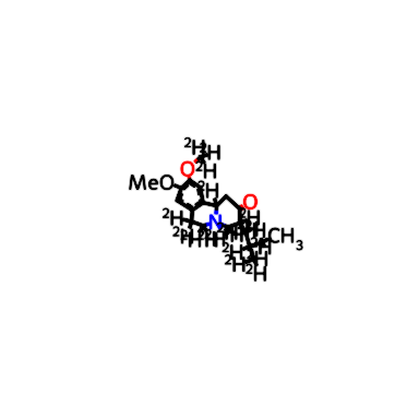 [2H]C([2H])([2H])Oc1cc2c(cc1OC)C([2H])([2H])C([2H])([2H])N1C2([2H])CC(=O)C([2H])(C([2H])([2H])C([2H])(C([2H])([2H])[2H])C([2H])([2H])C)C1([2H])[2H]